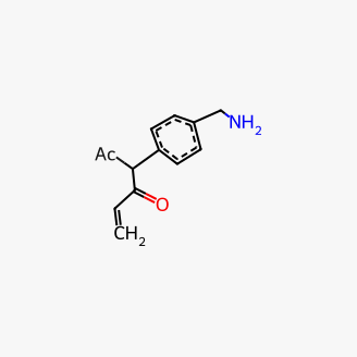 C=CC(=O)C(C(C)=O)c1ccc(CN)cc1